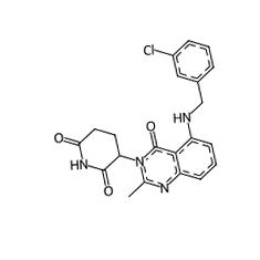 Cc1nc2cccc(NCc3cccc(Cl)c3)c2c(=O)n1C1CCC(=O)NC1=O